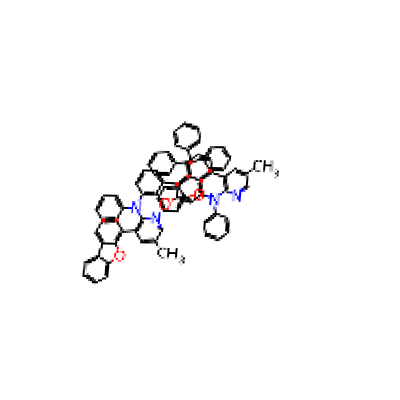 Cc1cnc(N(c2ccccc2)c2cc3oc4c(N(c5ccccc5)c5ncc(C)cc5-c5cccc6c5oc5ccccc56)cccc4c3c3c2-c2ccccc2C3(c2ccccc2)c2ccccc2)c(-c2cccc3c2oc2ccccc23)c1